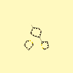 FC(F)(F)c1ccc(-c2cc[c]s2)cc1.[c]1cccs1